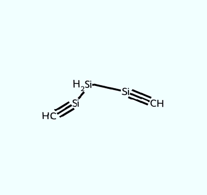 C#[Si][SiH2][Si]#C